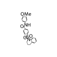 COc1ccc(NC(=O)c2ccc(S(=O)(=O)N3CCCc4ccccc43)cc2)cc1